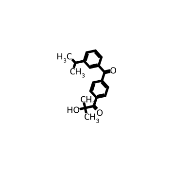 CC(C)c1cccc(C(=O)c2ccc(C(=O)C(C)(C)O)cc2)c1